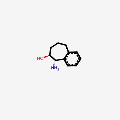 N[C@H]1c2ccccc2CCC[C@@H]1O